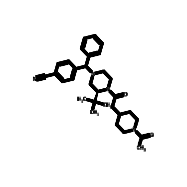 CC(=O)N1CCC(CC(=O)N2CCN(C(c3ccccc3)c3ccc(C#N)cc3)C[C@@H]2C(C)(C)C)CC1